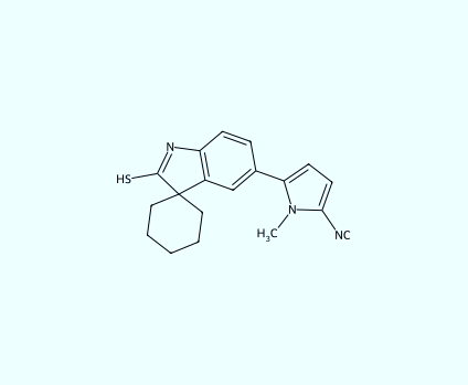 [C-]#[N+]c1ccc(-c2ccc3c(c2)C2(CCCCC2)C(S)=N3)n1C